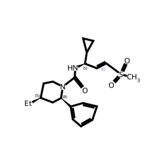 CC[C@H]1CCN(C(=O)N[C@H](/C=C/S(C)(=O)=O)C2CC2)[C@@H](c2ccccc2)C1